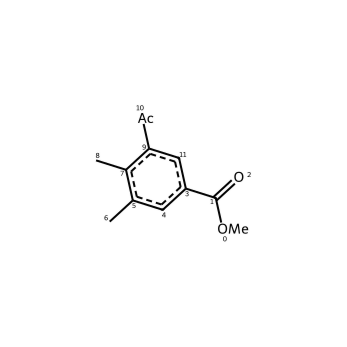 COC(=O)c1cc(C)c(C)c(C(C)=O)c1